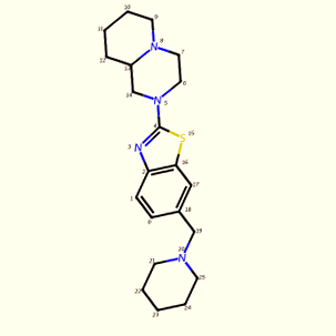 c1cc2nc(N3CCN4CCCCC4C3)sc2cc1CN1CCCCC1